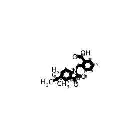 CC(C)(C)c1ccc2c(c1)C(=O)C(=O)N2Cc1ccccc1C(=O)O